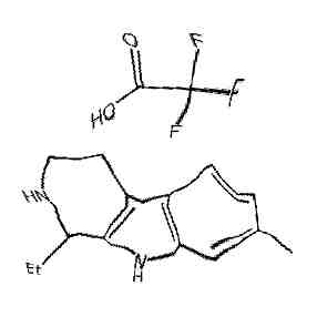 CCC1NCCc2c1[nH]c1cc(C)ccc21.O=C(O)C(F)(F)F